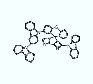 c1ccc2c(c1)Sc1ccc(-n3c4ccccc4c4cc(-n5c6ccccc6c6ccccc65)ccc43)cc1C21c2cccnc2-c2ncc(-n3c4ccccc4c4ccccc43)cc21